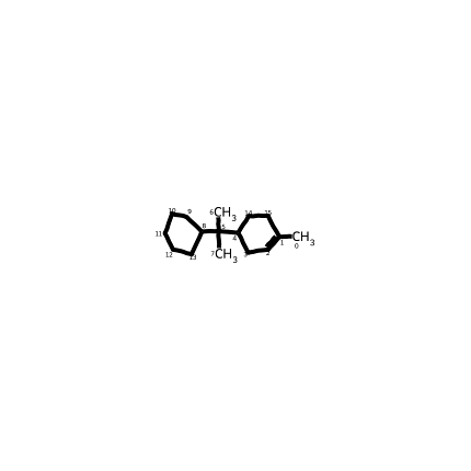 CC1=CCC(C(C)(C)C2CCCCC2)CC1